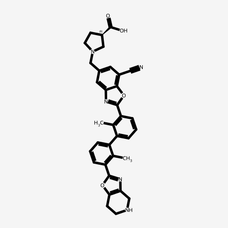 Cc1c(-c2nc3c(o2)CCNC3)cccc1-c1cccc(-c2nc3cc(CN4CC[C@@H](C(=O)O)C4)cc(C#N)c3o2)c1C